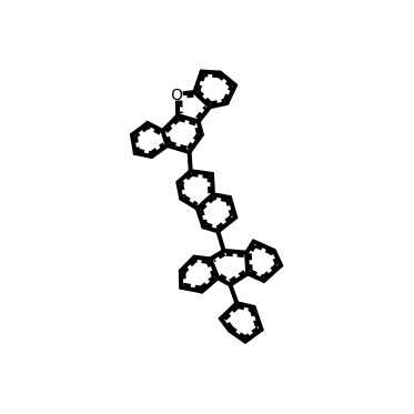 c1ccc(-c2c3ccccc3c(-c3ccc4cc(-c5cc6c7ccccc7oc6c6ccccc56)ccc4c3)c3ccccc23)cc1